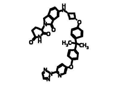 CC(C)(c1ccc(Oc2ccc(-n3nccn3)nc2)cc1)c1ccc(O[C@H]2C[C@H](Nc3ccc4c(c3)C(=O)N(C3CCC(=O)NC3=O)C4)C2)cc1